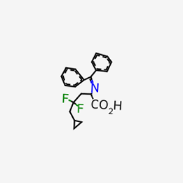 O=C(O)C(CC(F)(F)CC1CC1)N=C(c1ccccc1)c1ccccc1